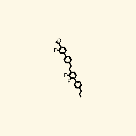 CCCc1ccc(-c2ccc(CCc3ccc(-c4ccc(C5CO5)c(F)c4)cc3)c(F)c2F)cc1